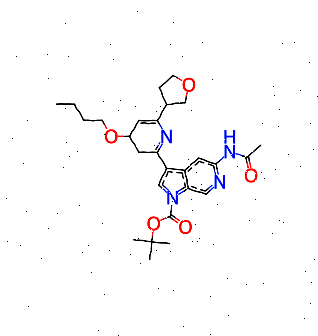 CCCCOC1C=C(C2CCOC2)N=C(c2cn(C(=O)OC(C)(C)C)c3cnc(NC(C)=O)cc23)C1